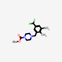 Cc1c(CN2CCN(C(=O)OC(C)(C)C)CC2)cc(C(F)F)cc1[N+](=O)[O-]